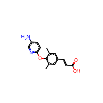 Cc1cc(C=CC(=O)O)cc(C)c1Oc1ccc(N)cn1